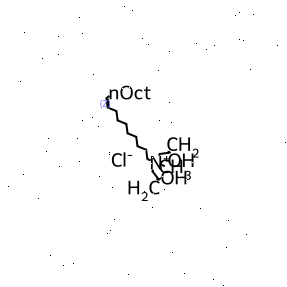 C=C(O)C[N+](C)(CCCCCCCC/C=C\CCCCCCCC)CC(=C)O.[Cl-]